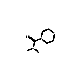 C[N+](C)C(=N)N1CCOCC1